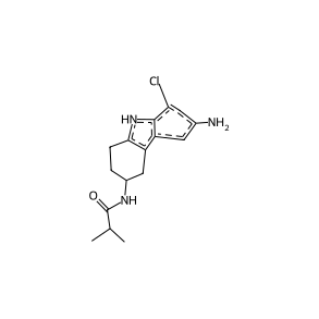 CC(C)C(=O)NC1CCc2[nH]c3c(Cl)cc(N)cc3c2C1